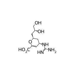 N=C(N)N[C@H]1C=C(C(=O)O)O[C@@H](C[C@H](O)CO)C1